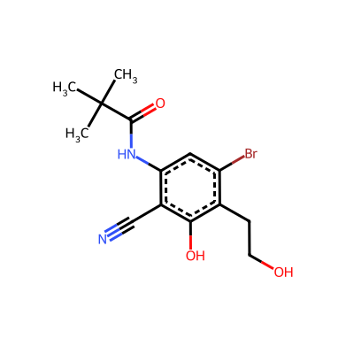 CC(C)(C)C(=O)Nc1cc(Br)c(CCO)c(O)c1C#N